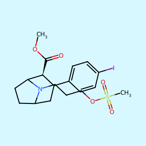 COC(=O)[C@H]1C(c2ccc(I)cc2)CC2CCC1N2CCCOS(C)(=O)=O